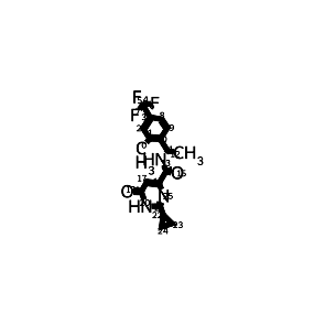 Cc1cc(C(F)(F)F)ccc1C(C)NC(=O)c1cc(=O)[nH]c(C2CC2)n1